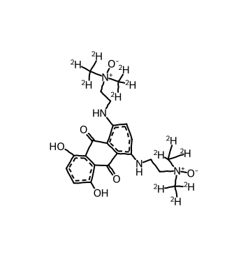 [2H]C([2H])([2H])[N+]([O-])(CCNc1ccc(NCC[N+]([O-])(C([2H])([2H])[2H])C([2H])([2H])[2H])c2c1C(=O)c1c(O)ccc(O)c1C2=O)C([2H])([2H])[2H]